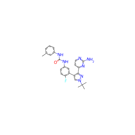 Cc1cccc(NC(=O)Nc2ccc(F)c(-c3cn(C(C)(C)C)nc3-c3ccnc(N)n3)c2)c1